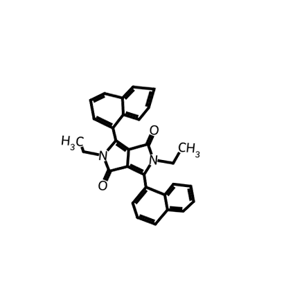 CCN1C(=O)C2=C(c3cccc4ccccc34)N(CC)C(=O)C2=C1c1cccc2ccccc12